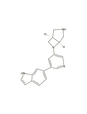 c1cc2ccc(-c3cncc(N4C[C@H]5CNC[C@H]54)c3)cc2[nH]1